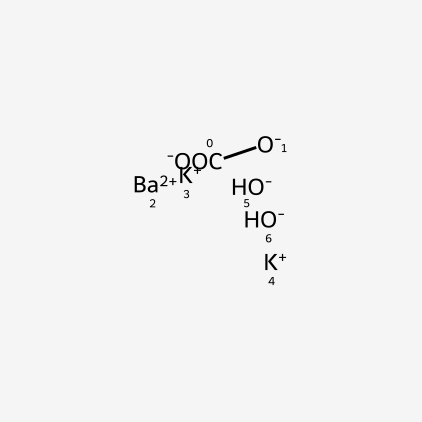 O=C([O-])[O-].[Ba+2].[K+].[K+].[OH-].[OH-]